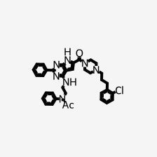 CC(=O)N(CCNc1nc(-c2ccccc2)nc2[nH]c(C(=O)N3CCN(CCCc4ccccc4Cl)CC3)cc12)c1ccccc1